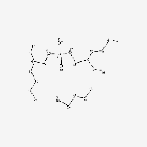 CCCCC(CC)COP(=O)([O-])OCC(CC)CCCC.CCC[CH2][Ni+]